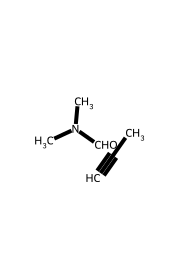 C#CC.CN(C)C=O